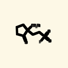 CCOC(=O)C1(CCS(=O)(=O)F)CCCC1=O